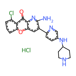 Cl.Nc1nc2c(=O)c3c(Cl)cccc3oc2cc1-c1ccc(NC2CCNCC2)cn1